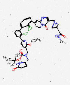 CNC(=O)C1CN(Cc2cnc3cc(-c4cccc(-c5cccc(-c6ccc(CN(C[C@@H]7CCC(=O)N7)C(=O)OC(C)(C)C)c(OC)n6)c5Cl)c4Cl)ccn3c2=O)C1